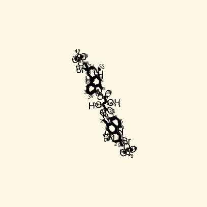 CN1CC(Br)(COS(C)(=O)=O)C[C@H]2c3cccc4c3c(cn4OC(=O)C(O)C(O)C(=O)On3cc4c5c(cccc53)[C@@H]3CC(Br)(COS(C)(=O)=O)CN(C)[C@H]3C4)C[C@@H]21